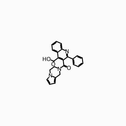 O=C(O)c1c(C(=O)N2CCn3cccc3C2)c(-c2ccccc2)nc2ccccc12